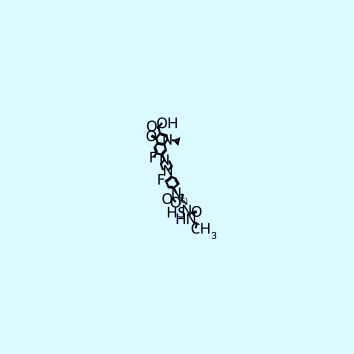 CCNC(=O)N(S)C[C@@H]1CN(c2ccc(N3CCN(c4cc5c(cc4F)c(=O)c(C(=O)O)cn5C4CC4)CC3)c(F)c2)C(=O)O1